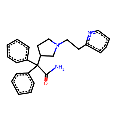 NC(=O)C(c1ccccc1)(c1ccccc1)C1CCN(CCc2ccccn2)C1